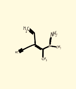 C#C/C(C=C)=C(\C)N(C)N